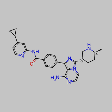 C[C@H]1CC[C@H](c2nc(-c3ccc(C(=O)Nc4cc(C5CC5)ccn4)cc3)c3c(N)nccn23)CN1